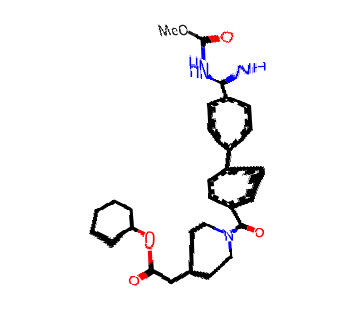 COC(=O)NC(=N)c1ccc(-c2ccc(C(=O)N3CCC(CC(=O)OC4CCCCC4)CC3)cc2)cc1